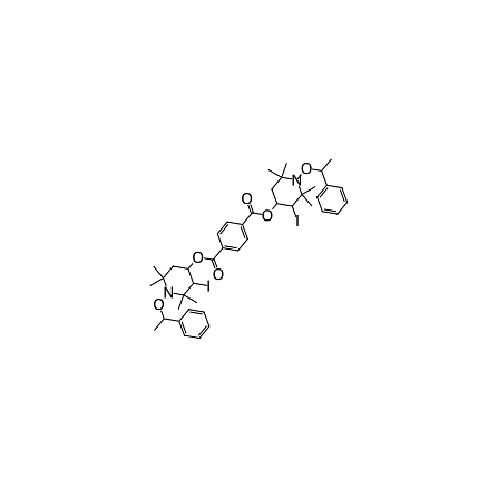 CC(ON1C(C)(C)CC(OC(=O)c2ccc(C(=O)OC3CC(C)(C)N(OC(C)c4ccccc4)C(C)(C)C3I)cc2)C(I)C1(C)C)c1ccccc1